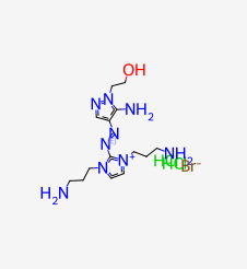 Cl.Cl.NCCCn1cc[n+](CCCN)c1/N=N/c1cnn(CCO)c1N.[Br-]